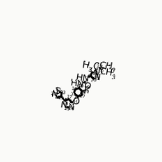 CC(C)(C)n1cc(NC(=O)Nc2ccc(Oc3cc(-c4cnsc4)ncn3)cc2F)cn1